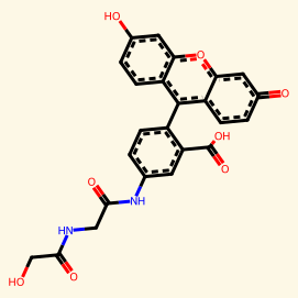 O=C(CO)NCC(=O)Nc1ccc(-c2c3ccc(=O)cc-3oc3cc(O)ccc23)c(C(=O)O)c1